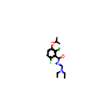 CCN(CC)CNC(=O)c1c(F)ccc(OC(C)C)c1F